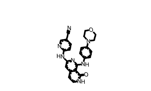 N#Cc1ccc(Nc2cc3cc[nH]c(=O)c3c(Nc3ccc(N4CCOCC4)cc3)n2)nc1